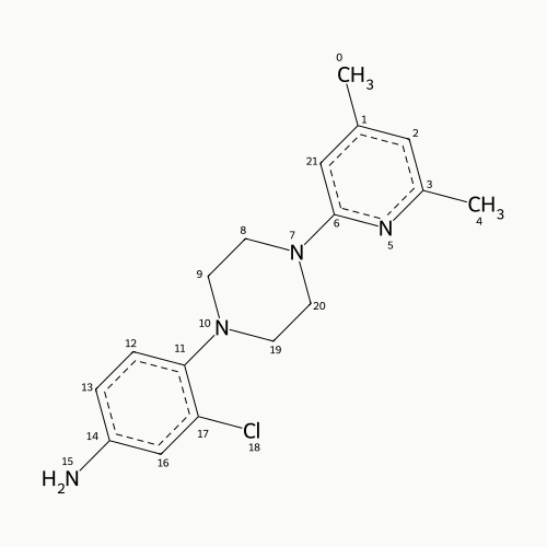 Cc1cc(C)nc(N2CCN(c3ccc(N)cc3Cl)CC2)c1